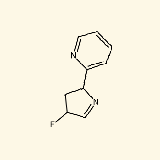 FC1C=NC(c2ccccn2)C1